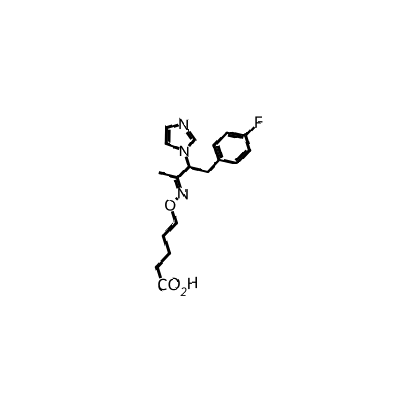 CC(=NOCCCCC(=O)O)C(Cc1ccc(F)cc1)n1ccnc1